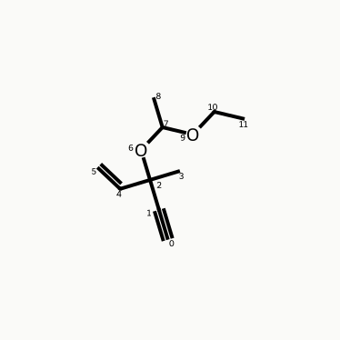 C#CC(C)(C=C)OC(C)OCC